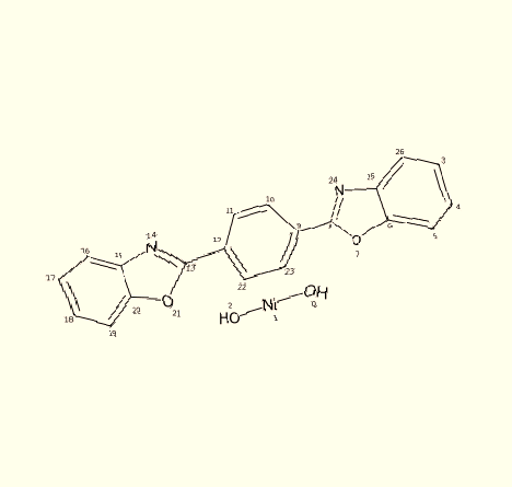 [OH][Ni][OH].c1ccc2oc(-c3ccc(-c4nc5ccccc5o4)cc3)nc2c1